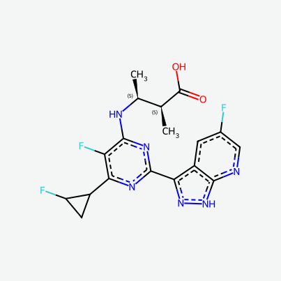 C[C@H](Nc1nc(-c2n[nH]c3ncc(F)cc23)nc(C2CC2F)c1F)[C@H](C)C(=O)O